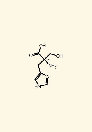 N[C@@](CO)(Cc1c[nH]cn1)C(=O)O